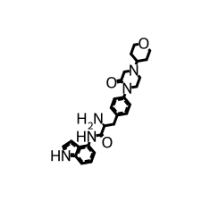 N[C@@H](Cc1ccc(N2CCN(C3CCOCC3)CC2=O)cc1)C(=O)Nc1cccc2[nH]ccc12